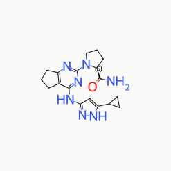 NC(=O)[C@@H]1CCCN1c1nc2c(c(Nc3cc(C4CC4)[nH]n3)n1)CCC2